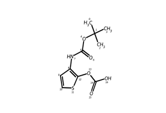 CC(C)(C)OC(=O)Nc1ccsc1OC(=O)O